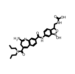 CCCN(CCC)C(=O)C1=Cc2ccc(C(=O)Nc3ccc4c(c3)B(O)OC4CNC(=O)O)cc2N=C(N)C1